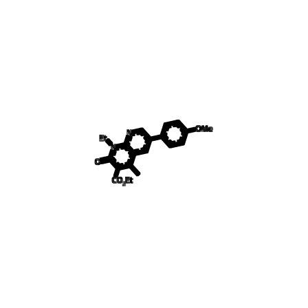 CCOC(=O)c1c(C)c2cc(-c3ccc(OC)cc3)cnc2n(CC)c1=O